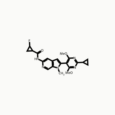 COc1nc(C2CC2)nc(OC)c1-c1cc2cc(NC(=O)C3CC3F)ncc2n1C